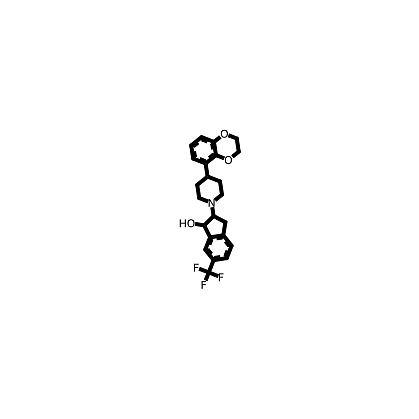 OC1c2cc(C(F)(F)F)ccc2CC1N1CCC(c2cccc3c2OCCO3)CC1